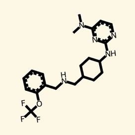 CN(C)c1ccnc(NC2CCC(CNCc3ccccc3OC(F)(F)F)CC2)n1